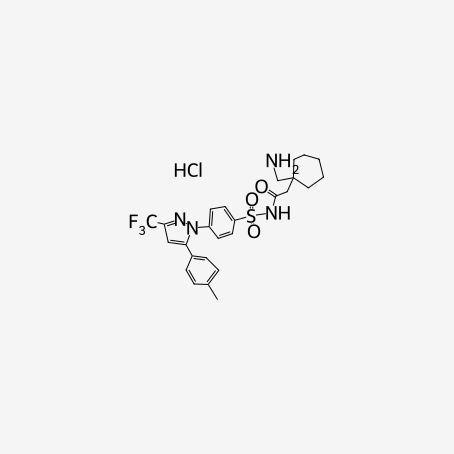 Cc1ccc(-c2cc(C(F)(F)F)nn2-c2ccc(S(=O)(=O)NC(=O)CC3(CN)CCCCC3)cc2)cc1.Cl